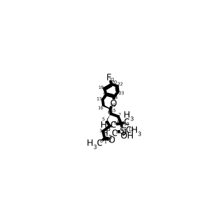 CC(=O)CCC[C@@H](CC(C)(C)[Si](C)(C)O)[C@H]1CCc2cc(F)ccc2O1